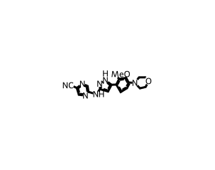 COc1cc(N2CCOCC2)ccc1-c1cc(Nc2cnc(C#N)cn2)n[nH]1